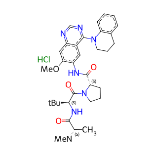 CN[C@@H](C)C(=O)N[C@H](C(=O)N1CCC[C@H]1C(=O)Nc1cc2c(N3CCCc4ccccc43)ncnc2cc1OC)C(C)(C)C.Cl